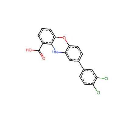 O=C(O)c1cccc2c1Nc1cc(-c3ccc(Cl)c(Cl)c3)ccc1O2